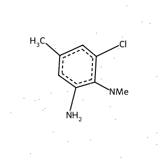 CNc1c(N)cc(C)cc1Cl